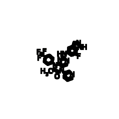 C[C@@H]1C(=O)N(c2cccnc2)c2cnc(Nc3cc(F)c4[nH]ncc4c3)nc2N1[C@H]1CC[C@H](C(F)(F)F)CC1